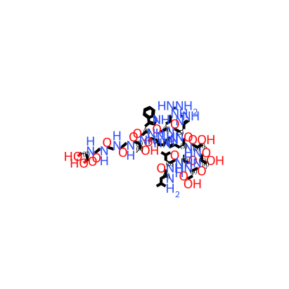 CC(C)C[C@H](NC(=O)[C@@H](N)CC(C)C)C(=O)N[C@@H](C)C(=O)N[C@@H](CC(=O)O)C(=O)N[C@H](C(=O)N[C@H](C(=O)N[C@@H](Cc1c[nH]cn1)C(=O)N[C@@H](Cc1c[nH]cn1)C(=O)N[C@@H](CCCNC(=N)N)C(=O)N1CCC[C@H]1C(=O)N[C@@H](Cc1c[nH]c2ccccc12)C(=O)N[C@H](C(=O)NCC(=O)NCC(=O)NCC(=O)N[C@@H](CO)C(=O)O)[C@@H](C)O)[C@@H](C)O)[C@@H](C)O